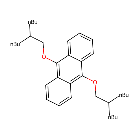 CCCCC(CCCC)COc1c2ccccc2c(OCC(CCCC)CCCC)c2ccccc12